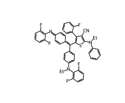 CCN(c1ccccc1)c1sc(C(=C2C=CC(=Nc3c(F)cccc3F)C=C2)c2ccc(N(CC)c3c(F)cccc3F)cc2)c(-c2ccccc2F)c1C#N